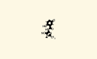 Cn1c(C(F)(F)F)nc(NC(=O)c2cc(Cl)ccc2O)c1C#N